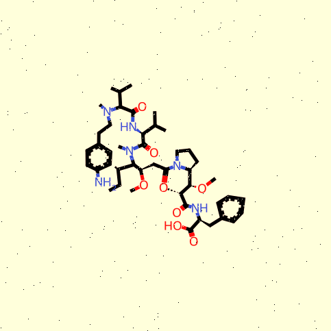 CC[C@H](C)C([C@@H](CC(=O)N1CCC[C@H]1[C@H](OC)[C@@H](C)C(=O)N[C@@H](Cc1ccccc1)C(=O)O)OC)N(C)C(=O)[C@@H](NC(=O)C(C(C)C)N(C)CCc1ccc(N)cc1)C(C)C